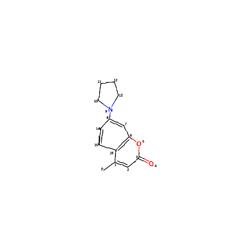 [CH2]c1cc(=O)oc2cc(N3CCCC3)ccc12